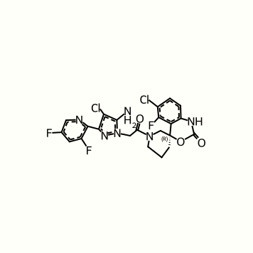 Nc1c(Cl)c(-c2ncc(F)cc2F)nn1CC(=O)N1CCC[C@@]2(C1)OC(=O)Nc1ccc(Cl)c(F)c12